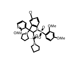 COc1ccc(S(=O)(=O)N2c3ccc(Cl)cc3C(c3cccnc3OC)(N3CCC[C@H]3C(=O)N3CCCC3)C2O)c(OC)c1